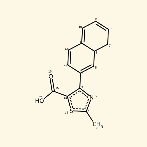 Cc1nc(C2=CC3CC=CC=C3C=C2)c(C(=O)O)s1